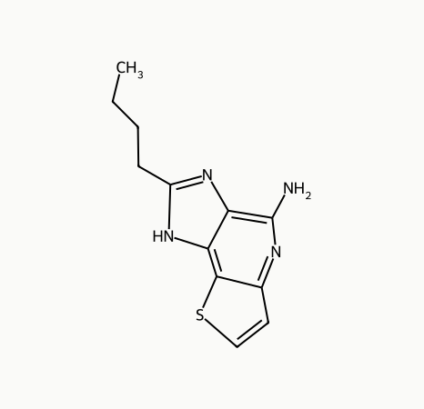 CCCCc1nc2c(N)nc3ccsc3c2[nH]1